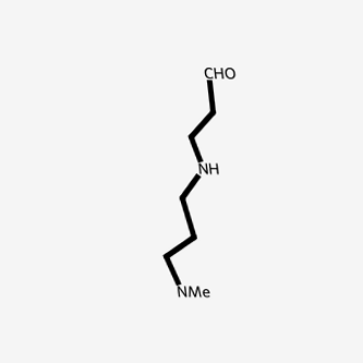 CNCCCNCCC=O